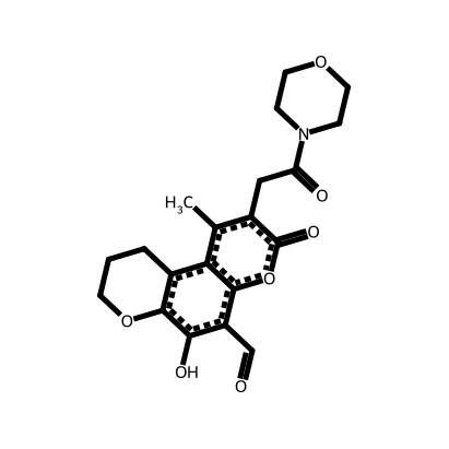 Cc1c(CC(=O)N2CCOCC2)c(=O)oc2c(C=O)c(O)c3c(c12)CCCO3